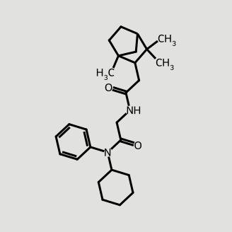 CC12CCC(C1)C(C)(C)C2CC(=O)NCC(=O)N(c1ccccc1)C1CCCCC1